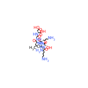 CC(C)C[C@H](NC(=O)[C@H](CCCCN)NC(=O)[C@H](CO)NC(=O)[C@@H](N)CCCCN)C(=O)NCC(=O)N[C@@H](CC(=O)O)C(=O)O